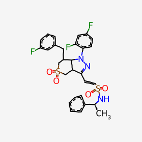 C[C@H](NS(=O)(=O)/C=C/C1=NN(c2ccc(F)cc2F)C2C(Cc3cccc(F)c3)CS(=O)(=O)CC12)c1ccccc1